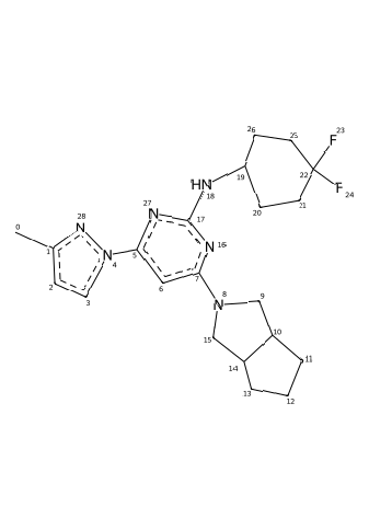 Cc1ccn(-c2cc(N3CC4CCCC4C3)nc(NC3CCC(F)(F)CC3)n2)n1